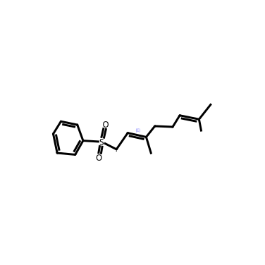 CC(C)=CCC/C(C)=C/[CH]S(=O)(=O)c1ccccc1